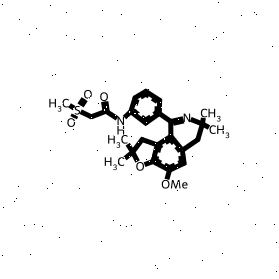 COc1cc2c(c3c1OC(C)(C)C3)C(c1cccc(NC(=O)CS(C)(=O)=O)c1)=NC(C)(C)C2